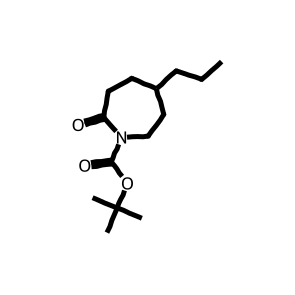 CCCC1CCC(=O)N(C(=O)OC(C)(C)C)CC1